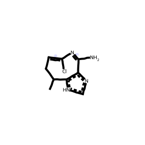 CC1C/C=C(Cl)/N=C(/N)c2nc[nH]c21